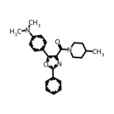 CC1CCN(C(=O)c2nc(-c3ccccc3)oc2-c2ccc(N(C)C)cc2)CC1